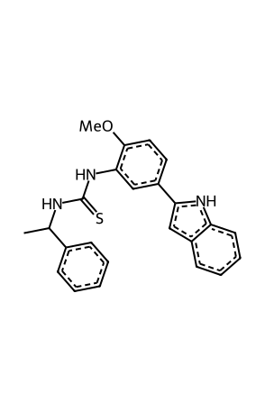 COc1ccc(-c2cc3ccccc3[nH]2)cc1NC(=S)NC(C)c1ccccc1